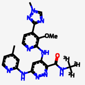 [2H]C([2H])([2H])NC(=O)c1nnc(Nc2cc(C)ccn2)cc1Nc1nccc(-c2ncn(C)n2)c1OC